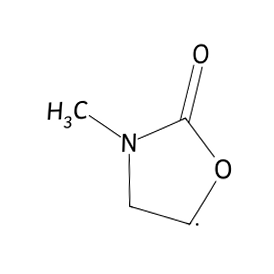 CN1C[CH]OC1=O